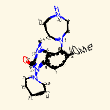 COc1ccc2c(c1N1CCNCC1)n(C)c(=O)n2N1CCCCC1